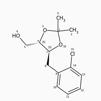 CC1(C)O[C@@H](CO)[C@H](Cc2ccccc2Cl)O1